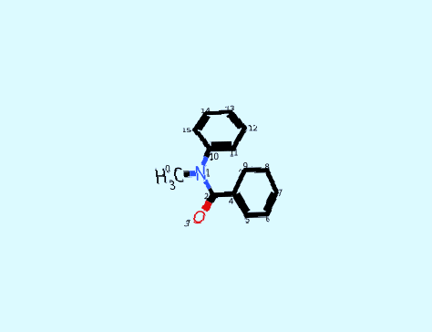 CN(C(=O)C1=CC=CC[CH]1)c1ccccc1